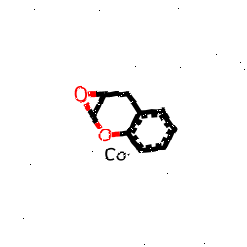 [Co].c1ccc2c(c1)CC1OC1O2